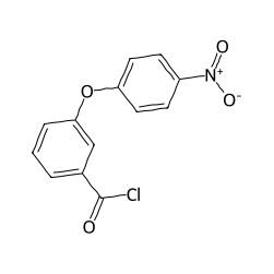 O=C(Cl)c1cccc(Oc2ccc([N+](=O)[O-])cc2)c1